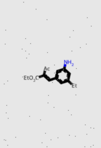 CCOC(=O)/C(=C/c1cc(N)cc(CC)c1)C(C)=O